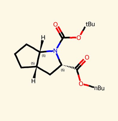 CCCCOC(=O)[C@@H]1C[C@@H]2CCC[C@@H]2N1C(=O)OC(C)(C)C